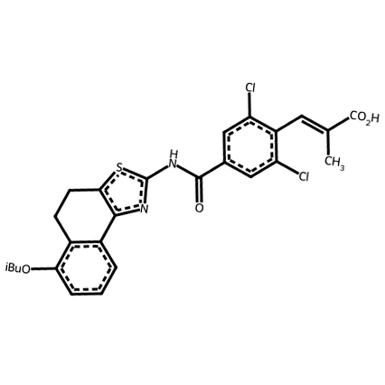 CC(=Cc1c(Cl)cc(C(=O)Nc2nc3c(s2)CCc2c(OCC(C)C)cccc2-3)cc1Cl)C(=O)O